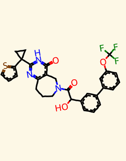 O=C(C(O)c1cccc(-c2cccc(OC(F)(F)F)c2)c1)N1CCCc2nc(C3(c4cccs4)CC3)[nH]c(=O)c2C1